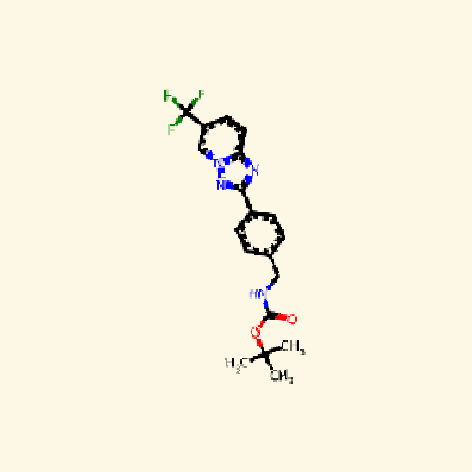 CC(C)(C)OC(=O)NCc1ccc(-c2nc3ccc(C(F)(F)F)cn3n2)cc1